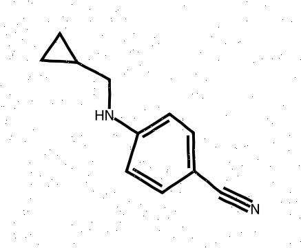 N#Cc1ccc(NCC2CC2)cc1